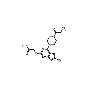 CCc1cc2c(N3CCN(C(=O)CC(F)(F)F)CC3)nc(OCC(N)=O)nc2s1